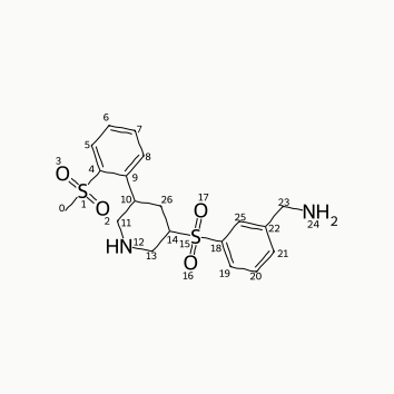 CS(=O)(=O)c1ccccc1C1CNCC(S(=O)(=O)c2cccc(CN)c2)C1